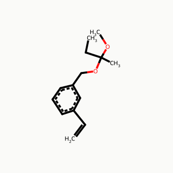 C=Cc1cccc(COC(C)(CC)OC)c1